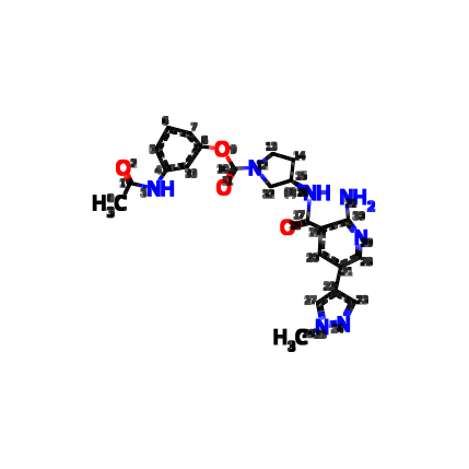 CC(=O)Nc1cccc(OC(=O)N2CC[C@@H](NC(=O)c3cc(-c4cnn(C)c4)cnc3N)C2)c1